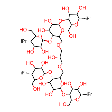 CC(C)[C@H]1OC(CO)[C@H](O[C@@H]2OC(COC[C@H](O)COCC3O[C@H](O[C@@H]4C(CO)O[C@@H](C(C)C)C(O)[C@H]4O)[C@H](O)C(O)[C@H]3O[C@@H]3OC(CO)[C@@H](C(C)C)[C@H](O)C3O)[C@@H](O[C@H]3OC(CO)[C@H](C(C)C)[C@@H](O)C3O)C(O)[C@@H]2O)[C@@H](O)C1O